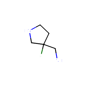 NCC1(F)CCNC1